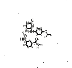 CC(C)Oc1ccc(Nc2nc(Cl)ncc2F)cn1.CNC(=O)c1cccc(NOC)c1